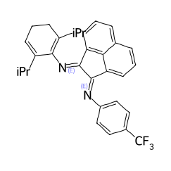 CC(C)C1=CCCC(C(C)C)=C1/N=C1/C(=N/c2ccc(C(F)(F)F)cc2)c2cccc3cccc1c23